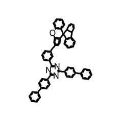 C1=CC2c3ccccc3C3(c4ccccc4Oc4cc(-c5cccc(-c6nc(-c7ccc(-c8ccccc8)cc7)nc(-c7ccc(-c8ccccc8)cc7)n6)c5)ccc43)C2C=C1